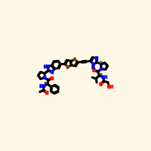 CC(=O)N[C@@H](C(=O)N1CCCC1c1nc2cc(-c3cc4sc(C#Cc5cnc([C@@H]6CCCN6C(=O)[C@@H](NC(=O)CO)C(C)C)[nH]5)cc4s3)ccc2[nH]1)c1ccccc1